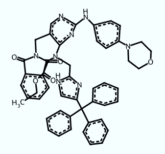 CCOC(=O)CN(Cc1nc(C(c2ccccc2)(c2ccccc2)c2ccccc2)c[nH]1)c1nc(Nc2ccc(N3CCOCC3)cc2)ncc1CN1C(=O)c2ccccc2C1=O